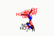 N#C[C@@H]1CCCN1C(=O)CN(C(=O)O)C12CC3C[C@H](CC(OCCOCCn4cc(CN(C[C@H](O)[C@@H](O)[C@H](O)[C@H](O)CO)C[C@H](O)[C@@H](O)[C@H](O)[C@H](O)CO)nn4)(C3)C1)C2